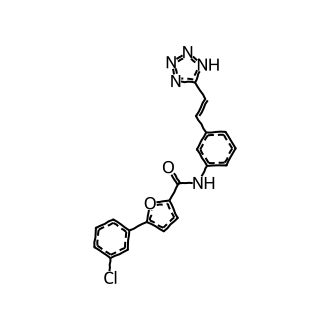 O=C(Nc1cccc(/C=C/c2nnn[nH]2)c1)c1ccc(-c2cccc(Cl)c2)o1